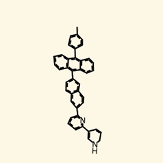 Cc1ccc(-c2c3ccccc3c(-c3ccc4cc(-c5cccc(C6=CNCC=C6)n5)ccc4c3)c3ccccc23)cc1